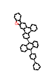 c1ccc(-c2ccc(-c3c4ccccc4c(-c4ccc5c(c4)c4ccccc4c4cc6c(cc54)oc4ccccc46)c4ccccc34)cc2)cc1